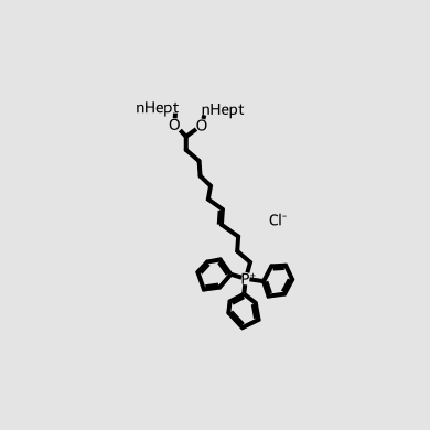 CCCCCCCOC(CCCCCC=CCCC[P+](c1ccccc1)(c1ccccc1)c1ccccc1)OCCCCCCC.[Cl-]